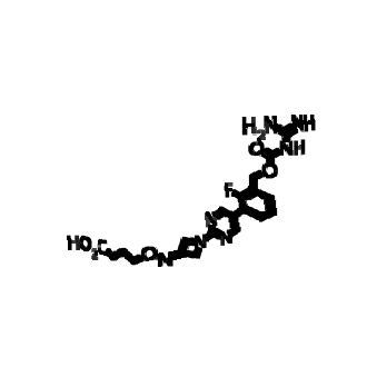 N=C(N)NC(=O)OCc1cccc(-c2cnc(N3CC(=NOCCCC(=O)O)C3)nc2)c1F